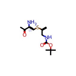 C=C(CNC(=O)OC(C)(C)C)S/C=C(\N)C(C)=O